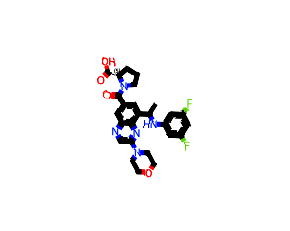 CC(Nc1cc(F)cc(F)c1)c1cc(C(=O)N2CCC[C@H]2C(=O)O)cc2ncc(N3CCOCC3)nc12